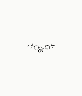 CCC(C)(C)C1CCC2(CC1)CC(c1ccc(C(C)(C)C)cc1)=NO2